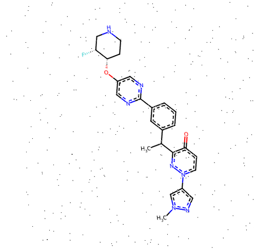 CC(c1cccc(-c2ncc(O[C@H]3CCNC[C@H]3F)cn2)c1)c1nn(-c2cnn(C)c2)ccc1=O